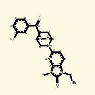 Cn1c(=O)n(CC(C)(C)C)c2ccc(N3CC4CCC3CN4C(=O)c3cccc(F)c3)nc21